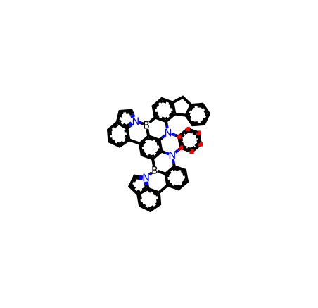 c1ccc(N2c3cccc4c3B(c3cc5c6c(c32)N(c2ccccc2)c2c(ccc3c2-c2ccccc2C3)B6n2ccc3cccc-5c32)n2ccc3cccc-4c32)cc1